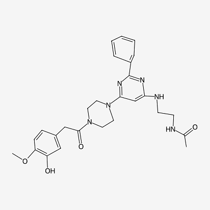 COc1ccc(CC(=O)N2CCN(c3cc(NCCNC(C)=O)nc(-c4ccccc4)n3)CC2)cc1O